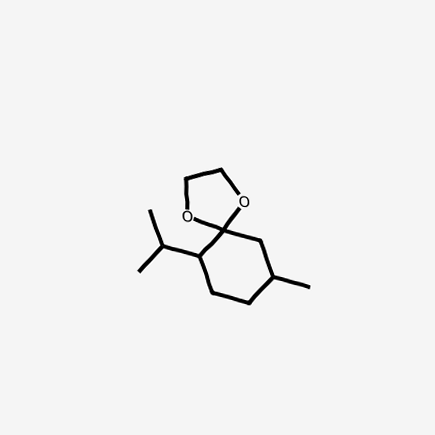 CC1CCC(C(C)C)C2(C1)OCCO2